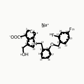 O=C([O-])c1cccc2c1c(CO)cn2Cc1ccccc1OCc1ccc(F)cc1F.[Na+]